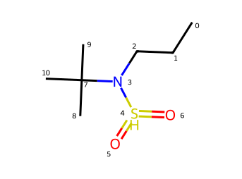 CCCN([SH](=O)=O)C(C)(C)C